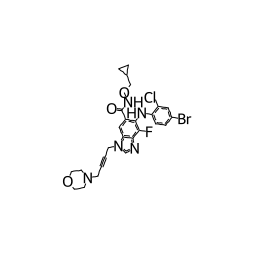 O=C(NOCC1CC1)c1cc2c(ncn2CC#CCN2CCOCC2)c(F)c1Nc1ccc(Br)cc1Cl